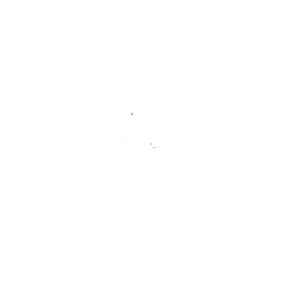 C1=CC2=[N+]3C1=C(c1ccccc1)c1ccc4n1[B-]3(Oc1ccccc12)Oc1ccccc1-4